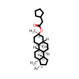 CC(=O)[C@H]1CC[C@H]2[C@@H]3CC[C@H]4C[C@](C)(OC(=O)CC5CCCC5)CC[C@]4(C)[C@H]3CC[C@]12C